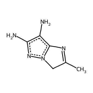 CC1=Nc2c(N)c(N)nn2C1